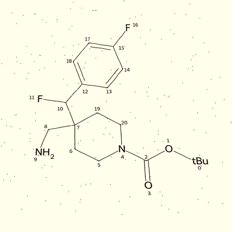 CC(C)(C)OC(=O)N1CCC(CN)(C(F)c2ccc(F)cc2)CC1